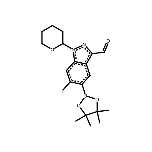 CC1(C)OB(c2cc3c(C=O)nn(C4CCCCO4)c3cc2I)OC1(C)C